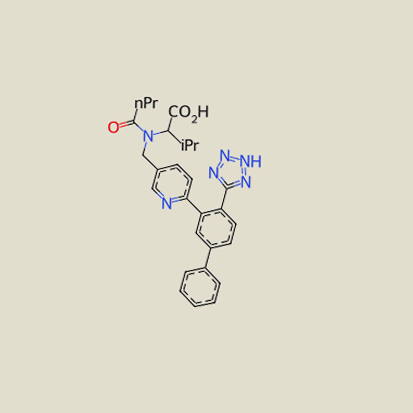 CCCC(=O)N(Cc1ccc(-c2cc(-c3ccccc3)ccc2-c2nn[nH]n2)nc1)C(C(=O)O)C(C)C